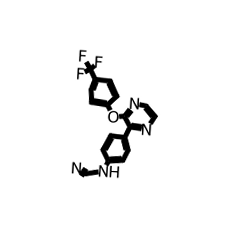 N#CNc1ccc(-c2nccnc2Oc2ccc(C(F)(F)F)cc2)cc1